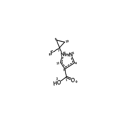 O=C(O)c1cnn(C2(F)CC2)c1